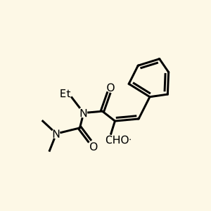 CCN(C(=O)C([C]=O)=Cc1ccccc1)C(=O)N(C)C